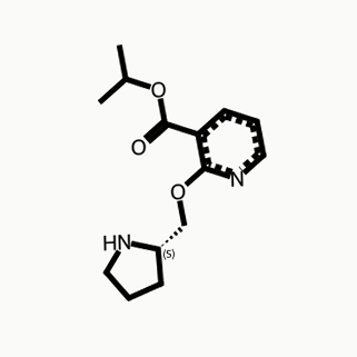 CC(C)OC(=O)c1cccnc1OC[C@@H]1CCCN1